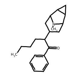 CCCCC(C(=O)c1ccccc1)C1CC2C3CC3C(C1)N2C